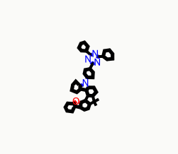 CC1(C)c2ccc3c(oc4ccccc43)c2-c2c1ccc1c2c2ccccc2n1-c1ccc(-c2nc(-c3ccccc3)nc(-c3ccccc3)n2)cc1